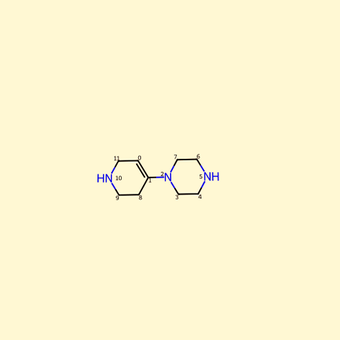 C1=C(N2CCNCC2)CCNC1